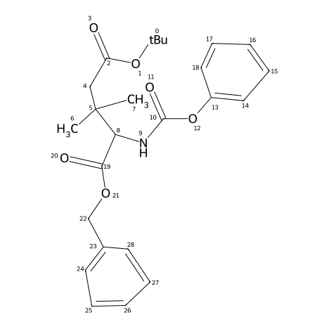 CC(C)(C)OC(=O)CC(C)(C)C(NC(=O)Oc1ccccc1)C(=O)OCc1ccccc1